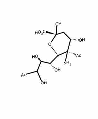 CC(=O)C(O)[C@@H](O)[C@@H](O)[C@@H]1O[C@@](O)(C(=O)O)C[C@H](O)[C@]1(N)C(C)=O